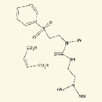 CCCCN(CCCC)CCNC(=O)N(CCS(=O)(=O)c1ccccc1)C(C)C.O=C(O)/C=C\C(=O)O